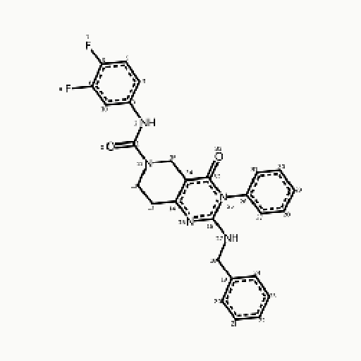 O=C(Nc1ccc(F)c(F)c1)N1CCc2nc(NCc3ccccc3)n(-c3ccccc3)c(=O)c2C1